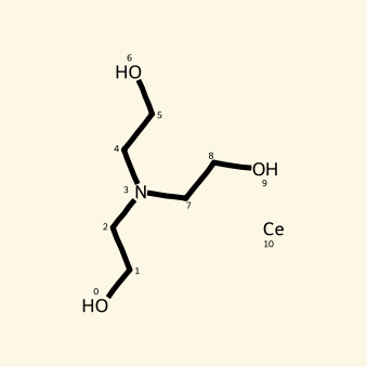 OCCN(CCO)CCO.[Ce]